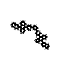 c1cc(-c2ccc(-c3c4ccccc4c(-c4ccc5ccccc5c4)c4ccccc34)cn2)cc(-c2ccc(-c3c4ccccc4c(-c4ccc5ccccc5c4)c4ccccc34)cn2)c1